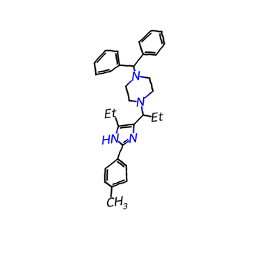 CCc1[nH]c(-c2ccc(C)cc2)nc1C(CC)N1CCN(C(c2ccccc2)c2ccccc2)CC1